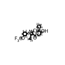 Cc1nn(-c2cccc(OC(F)(F)F)c2)c(C2CC2)c1C(=O)N1CC[C@@H](O)[C@H](N2CCCC2)C1